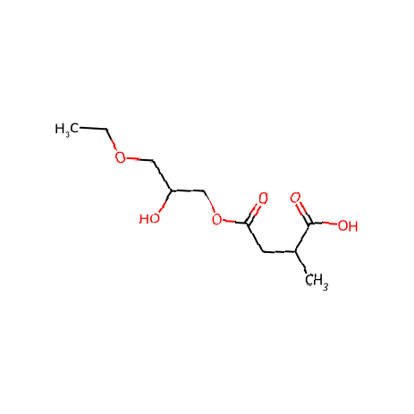 CCOCC(O)COC(=O)CC(C)C(=O)O